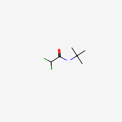 CC(C)(C)NC(=O)C(F)F